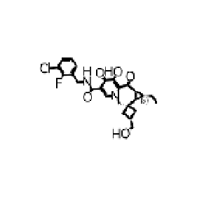 CC[C@@H]1C2=C1[C@]1(Cn3cc(C(=O)NCc4cccc(Cl)c4F)c(=O)c(O)c3C2=O)C[C@H](CO)C1